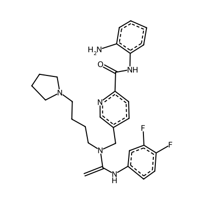 C=C(Nc1ccc(F)c(F)c1)N(CCCCN1CCCC1)Cc1ccc(C(=O)Nc2ccccc2N)nc1